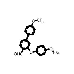 CCCCOc1ccc(Oc2cc(-c3ccc(OC(F)(F)F)cc3)ccc2C=O)cc1